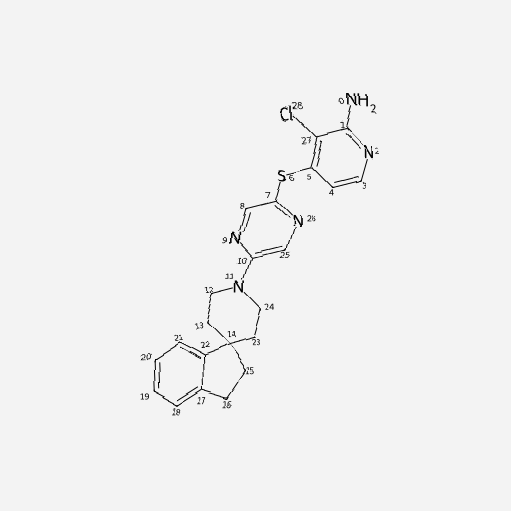 Nc1nccc(Sc2cnc(N3CCC4(CCc5ccccc54)CC3)cn2)c1Cl